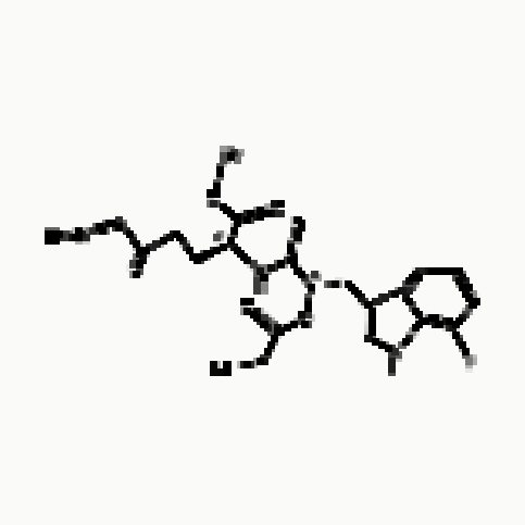 CC(C)OC(=O)[C@H](CCC(=O)C=[N+]=[N-])NC(=O)[C@H](Cc1c[nH]c2c(F)cccc12)OC(=O)CC#N